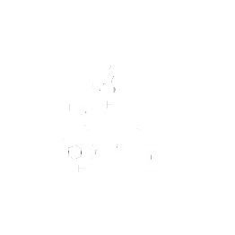 CC(=O)OCC(COC(C)=O)OC(=O)CCC(=O)Oc1cc(C)cc(C)c1C(C)(C)CC(=O)OC1CC[C@H]2C3CCC4=CC(=O)CCC4(C)[C@H]3CCC12C